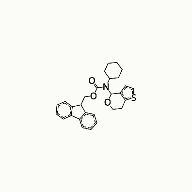 O=C(OCC1c2ccccc2-c2ccccc21)N(C1CCCCC1)C1OCCc2sccc21